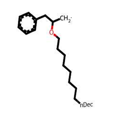 [CH2]C(Cc1ccccc1)OCCCCCCCCCCCCCCCCCC